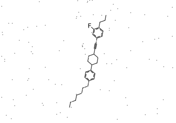 CCCCCCCc1ccc(C2CCC(C#Cc3ccc(CCC)c(F)c3)CC2)cc1